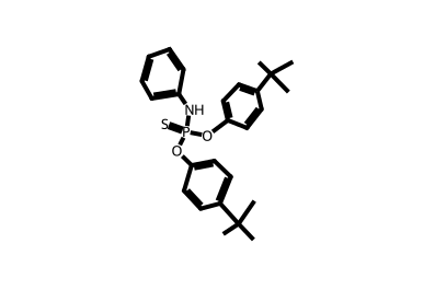 CC(C)(C)c1ccc(OP(=S)(Nc2ccccc2)Oc2ccc(C(C)(C)C)cc2)cc1